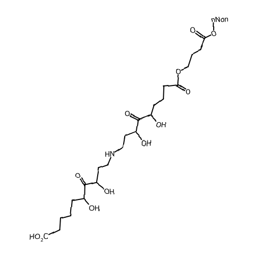 CCCCCCCCCOC(=O)CCCOC(=O)CCCC(O)C(=O)C(O)CCNCCC(O)C(=O)C(O)CCCCC(=O)O